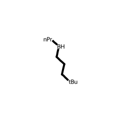 CCCBCCCC(C)(C)C